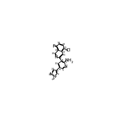 Cn1cc(-c2cnc(N)c(-c3cc4c(Cl)ccc(F)c4cn3)c2)cn1